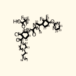 CN(C)CCN1CCN(C(=O)c2ccc(NC(=O)c3ncc(-c4ccc(Oc5ncccn5)c(F)c4F)n3C)cc2Cl)CC1.O=C(O)C(F)(F)F